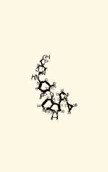 OC[C@]1(F)CN=C(Nc2cc(F)c(Oc3ccnc4[nH]cc(-c5ccnn5C5CC5)c34)c(F)c2)OC1